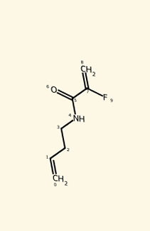 C=CCCNC(=O)C(=C)F